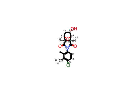 Cc1c(N2C(=O)[C@H]3[C@H](C2=O)[C@@]2(C)C[C@H](O)[C@]3(C)O2)ccc(Cl)c1C(F)(F)F